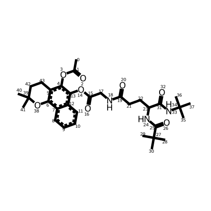 CC(=O)Oc1c2c(c3ccccc3c1OC(=O)CNC(=O)CCC(NC(=O)C(C)(C)C)C(=O)NC(C)(C)C)OC(C)(C)CC2